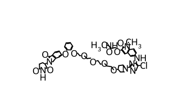 CNC(=O)COc1cc2cc(Nc3nc(N4CCC(OCCOCCOCCOCCOc5ccccc5Oc5ccc6c(c5)CN(C5CCC(=O)NC5=O)C6=O)CC4)ncc3Cl)ccc2n(C)c1=O